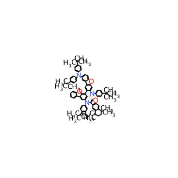 CC(C)(C)c1ccc(N2B3c4oc5cc6c(cc5c4N(c4ccc(C(C)(C)C)cc4)c4cc5c(oc7ccccc75)c(c43)-c3cc4c(cc32)oc2ccc(N(c3ccc(C(C)(C)C)cc3)c3ccc(C(C)(C)C)cc3)cc24)C(C)(C)CCC6(C)C)cc1